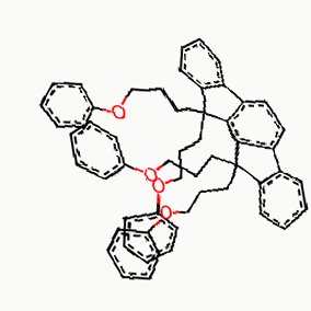 c1ccc(OCCCC2(CCCOc3ccccc3)c3ccccc3-c3ccc4c(c32)C(CCCOc2ccccc2)(CCCOc2ccccc2)c2ccccc2-4)cc1